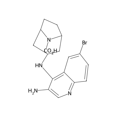 Nc1cnc2ccc(Br)cc2c1NC1CC2CCC(C1)N2C(=O)O